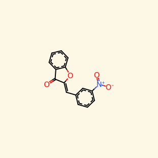 O=C1/C(=C/c2cccc([N+](=O)[O-])c2)Oc2ccccc21